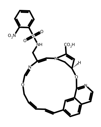 O=C(O)C1=C[C@@H]2CN1/C=C(CNS(=O)(=O)c1ccccc1[N+](=O)[O-])\N=C/OC/C=C\C=C\c1ccc3ccnc(c3c1)O2